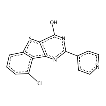 Oc1nc(-c2ccncc2)nc2c1sc1cccc(Cl)c12